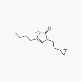 CCCCc1cn(CCC2CC2)c(=O)[nH]1